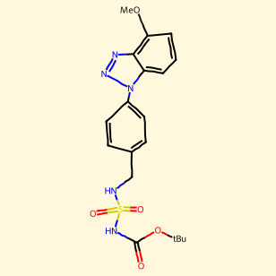 COc1cccc2c1nnn2-c1ccc(CNS(=O)(=O)NC(=O)OC(C)(C)C)cc1